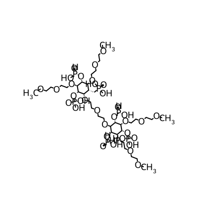 COCCOCCO[C@@H]1[C@@H](OP(=O)(O)O)[C@@H](OCCOCCOC2[C@@H](O[PH](=O)O)[C@H](PCCOCCOC)[C@@H](OP(=O)(O)O)[C@H](OCCOCCOC)[C@H]2O[PH](=O)O)[C@@H](CP(=O)(O)O)[C@H](OCCOCCOC)[C@H]1O[PH](=O)O